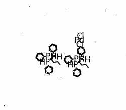 CCCC(Pc1ccccc1)(Pc1ccccc1)Pc1ccccc1.CCCC(Pc1ccccc1)(Pc1ccccc1)Pc1ccccc1.[Cl][Pd][Cl]